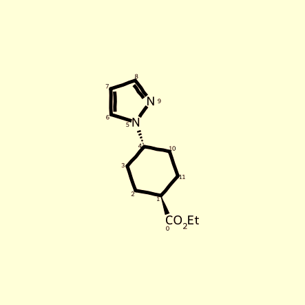 CCOC(=O)[C@H]1CC[C@H](n2cccn2)CC1